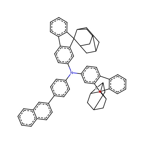 c1ccc2c(c1)-c1ccc(N(c3ccc(-c4ccc5ccccc5c4)cc3)c3ccc4c(c3)C3(c5ccccc5-4)C4CC5CC(C4)CC3C5)cc1C21C2CCC3CC(C2)CC1C3